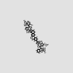 COC[C@H]1C[C@@H](c2ncc(-c3ccc4c(c3)COc3cc5c(ccc6nc([C@@H]7CC[C@H](C)N7C(=O)[C@@H](NC(=O)OC)C(C)C)[nH]c65)cc3-4)[nH]2)N(C(=O)C(NC(=O)OC)c2ccccc2)C1